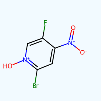 O=[N+]([O-])c1cc(Br)[n+](O)cc1F